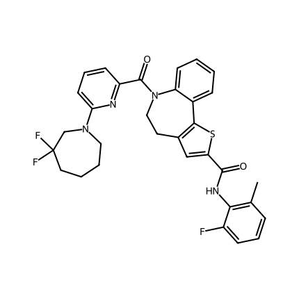 Cc1cccc(F)c1NC(=O)c1cc2c(s1)-c1ccccc1N(C(=O)c1cccc(N3CCCCC(F)(F)C3)n1)CC2